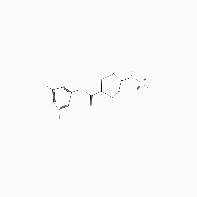 CC(C)(C)S(=O)(=O)NC1CCC(C(=O)Nc2cc(F)cc(F)c2)CC1